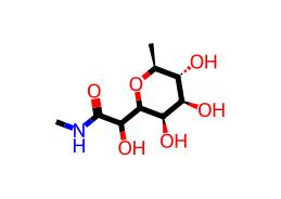 CNC(=O)C(O)C1O[C@@H](C)[C@H](O)[C@@H](O)[C@H]1O